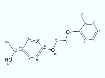 Cc1ccccc1OCCOc1ccc(C(C)O)cc1